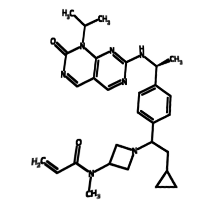 C=CC(=O)N(C)C1CN(C(CC2CC2)c2ccc([C@H](C)Nc3ncc4cnc(=O)n(C(C)C)c4n3)cc2)C1